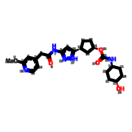 COc1cc(CC(=O)Nc2cc([C@@H]3CC[C@H](OC(=O)N[C@H]4CC[C@@H](O)CC4)C3)[nH]n2)ccn1